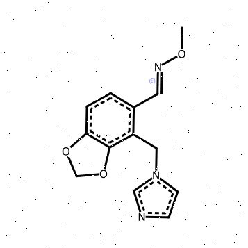 CO/N=C/c1ccc2c(c1Cn1ccnc1)OCO2